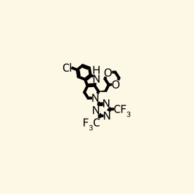 FC(F)(F)c1nc(N2CCc3c([nH]c4ccc(Cl)cc34)[C@H]2CC2COCCO2)nc(C(F)(F)F)n1